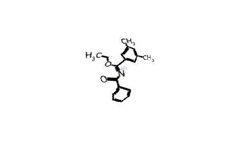 CCO/C(=N\C(=O)c1ccccc1)c1cc(C)cc(C)c1